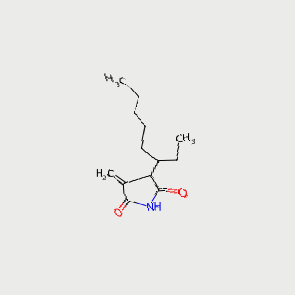 C=C1C(=O)NC(=O)C1C(CC)CCCCC